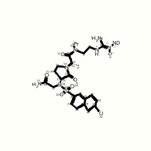 CC(C)N(CCN/C(N)=[N+](\[O-])N=O)C(=O)[C@H](C)N1CC[C@H](N(CC(N)=O)S(=O)(=O)c2ccc3cc(Cl)ccc3c2)C1=O